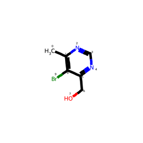 Cc1ncnc(CO)c1Br